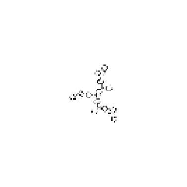 c1ccc(-c2ccc(-c3ccc(N(c4ccc(N(c5ccccc5)c5ccc(-c6cccc7c6oc6ccccc67)cc5)cc4)c4ccc(N(c5ccccc5)c5ccc(-c6cccc7c6oc6ccccc67)cc5)cc4)cc3)s2)cc1